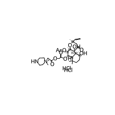 C=C[C@@]1(C)CC(=O)[C@]2(O)[C@@]3(C)[C@@H](O)CCC(C)(C)[C@@H]3[C@H](OC(=O)COC(=O)C[N+]3(C)CCNCC3)[C@H](OC(C)=O)[C@@]2(C)O1.Cl.Cl